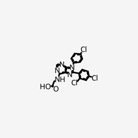 O=C(O)CNc1ncnc2c1nc(-c1ccc(Cl)cc1Cl)n2-c1ccc(Cl)cc1